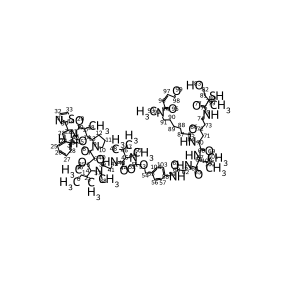 CCC(C)C(C(CC(=O)N1CCCC1C(OC)C(C)C(=O)NC(Cc1ccccc1)c1nccs1)OC)N(C)C(=O)CNC(=O)C(C(C)C)N(C)C(=O)OCc1ccc(NC(=O)CNC(=O)C(NC(=O)C(CCCCNC(=O)C(C)(S)CCO)NC(=O)CCCCCN(C)C(=O)/C=C\C=O)C(C)C)cc1